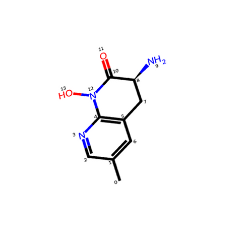 Cc1cnc2c(c1)C[C@H](N)C(=O)N2O